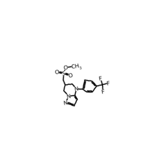 COS(=O)(=O)CC1CN(c2ccc(C(F)(F)F)cc2)c2ccnn2C1